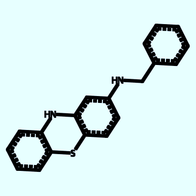 c1ccc(CNc2ccc3c(c2)Nc2ccccc2S3)cc1